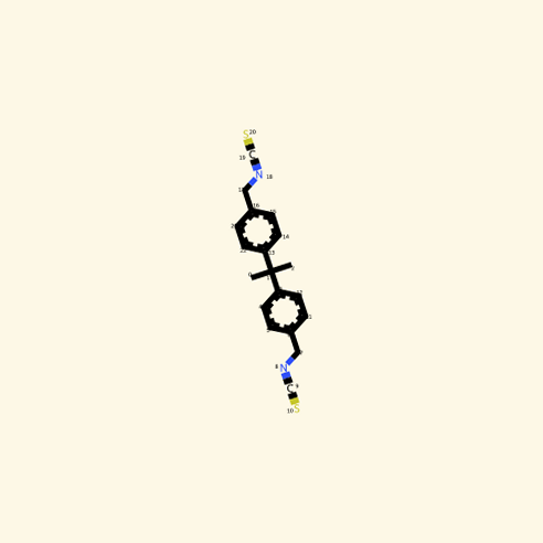 CC(C)(c1ccc(CN=C=S)cc1)c1ccc(CN=C=S)cc1